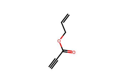 C#CC(=O)OCC=C